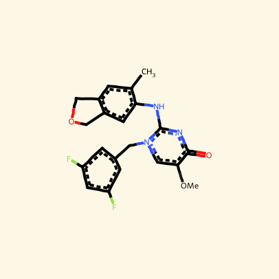 COc1cn(Cc2cc(F)cc(F)c2)c(Nc2cc3c(cc2C)COC3)nc1=O